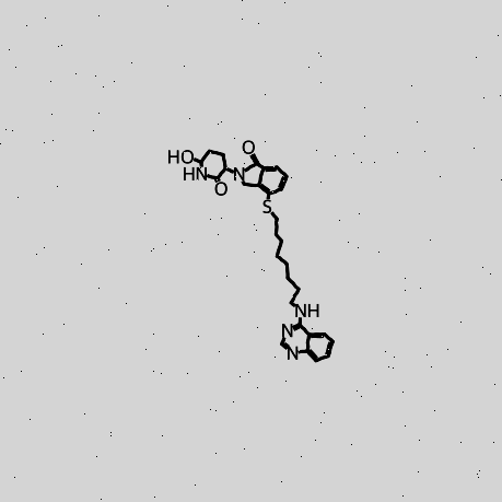 O=C1NC(O)CCC1N1Cc2c(SCCCCCCCCNc3ncnc4ccccc34)cccc2C1=O